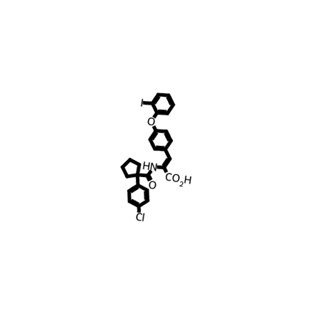 O=C(O)C(=Cc1ccc(Oc2ccccc2I)cc1)NC(=O)C1(c2ccc(Cl)cc2)CCCC1